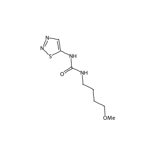 COCCCCNC(=O)Nc1cnns1